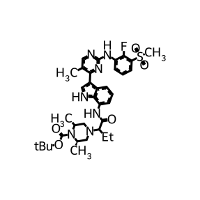 CCC(C(=O)Nc1cccc2c(-c3nc(Nc4cccc(S(C)(=O)=O)c4F)ncc3C)c[nH]c12)N1CC(C)N(C(=O)OC(C)(C)C)[C@H](C)C1